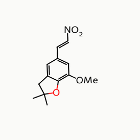 COc1cc(C=C[N+](=O)[O-])cc2c1OC(C)(C)C2